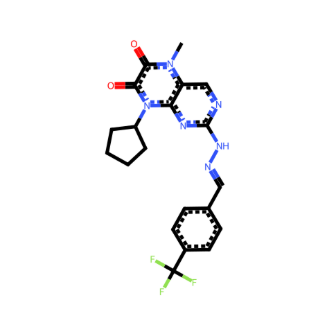 Cn1c(=O)c(=O)n(C2CCCC2)c2nc(NN=Cc3ccc(C(F)(F)F)cc3)ncc21